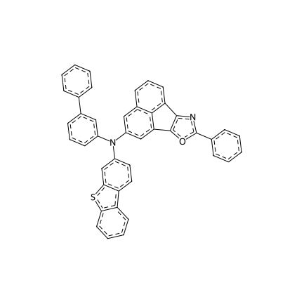 c1ccc(-c2cccc(N(c3cc4c5c(cccc5c3)-c3nc(-c5ccccc5)oc3-4)c3ccc4c(c3)sc3ccccc34)c2)cc1